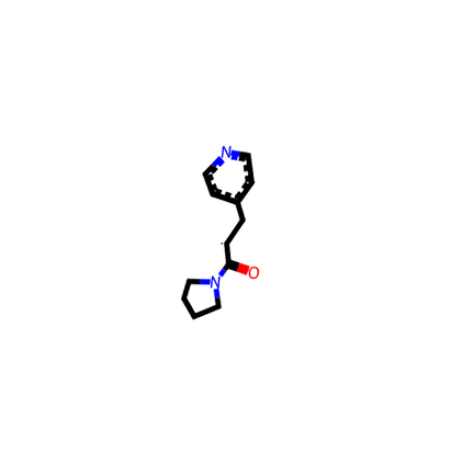 O=C([CH]Cc1ccncc1)N1CCCC1